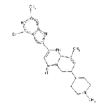 CCc1nc(C)cn2nc(C3=CC(=O)N4C=C(C5CCN(C)CC5)C=C(C)C4P3)cc12